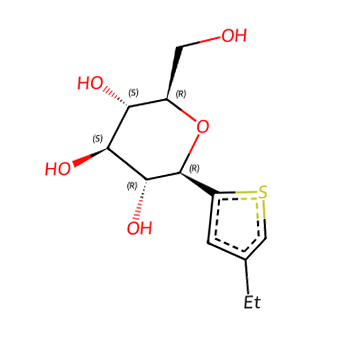 CCc1csc([C@@H]2O[C@H](CO)[C@@H](O)[C@H](O)[C@H]2O)c1